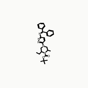 CCC1CN(c2ccc(N=C(c3ccccc3)c3ccccc3)nn2)CC(C)N1C(=O)OC(C)(C)C